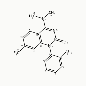 Cc1ccccc1-n1c(=O)nc(N(C)C)c2ccc(C(F)(F)F)cc21